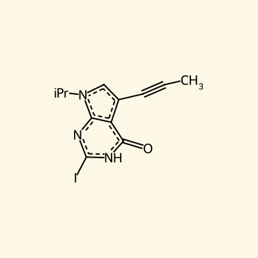 CC#Cc1cn(C(C)C)c2nc(I)[nH]c(=O)c12